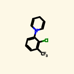 FC(F)(F)c1cccc(N2C=CCC=C2)c1Cl